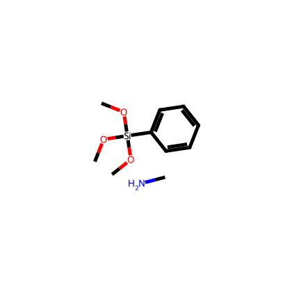 CN.CO[Si](OC)(OC)c1ccccc1